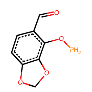 O=Cc1ccc2c(c1OP)OCO2